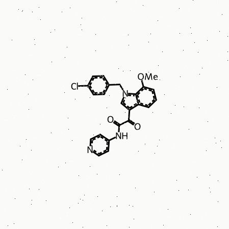 COc1cccc2c(C(=O)C(=O)Nc3ccncc3)cn(Cc3ccc(Cl)cc3)c12